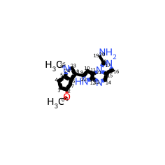 COc1ccc2c(c1)c(-c1cc3c(ncc4cnc(CN)n43)[nH]1)cn2C